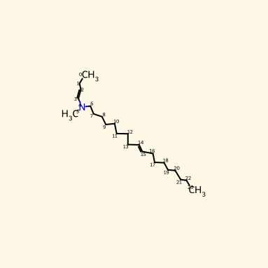 CC/C=C/N(C)CCCCCCCC/C=C/CCCCCCCC